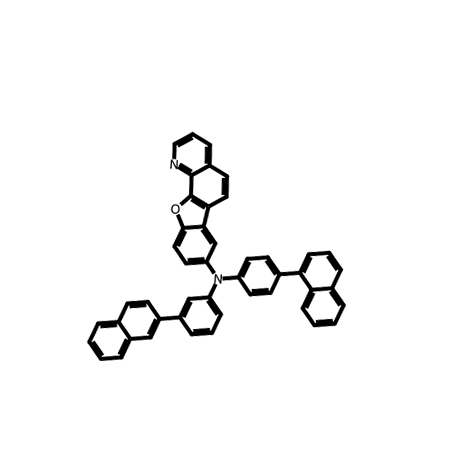 c1cc(-c2ccc3ccccc3c2)cc(N(c2ccc(-c3cccc4ccccc34)cc2)c2ccc3oc4c(ccc5cccnc54)c3c2)c1